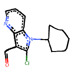 O=Cc1c(Cl)n(C2CCCCC2)c2cccnc12